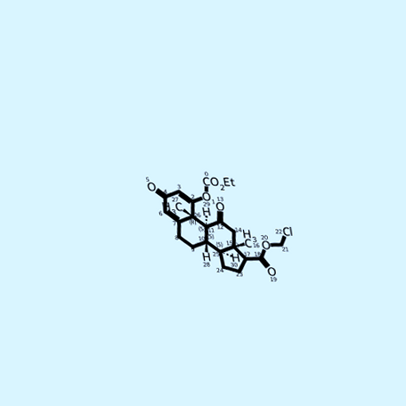 CCOC(=O)OC1=CC(=O)C=C2CC[C@@H]3[C@H](C(=O)C[C@]4(C)C(C(=O)OCCl)CC[C@@H]34)[C@]21C